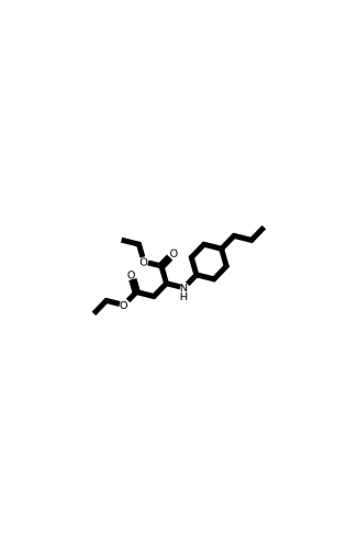 CCCC1CCC(NC(CC(=O)OCC)C(=O)OCC)CC1